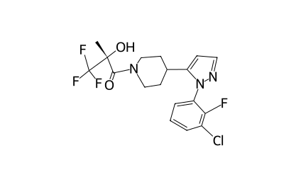 C[C@@](O)(C(=O)N1CCC(c2ccnn2-c2cccc(Cl)c2F)CC1)C(F)(F)F